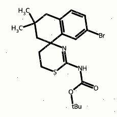 CC1(C)Cc2ccc(Br)cc2C2(CCSC(NC(=O)OC(C)(C)C)=N2)C1